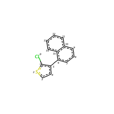 Clc1sccc1-c1cccc2ccccc12